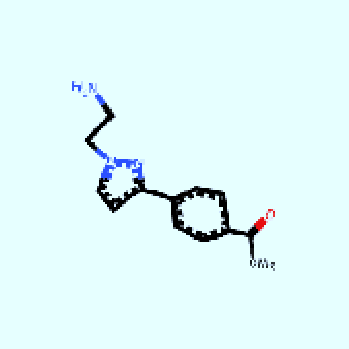 COC(=O)c1ccc(-c2c[c]n(CCN)n2)cc1